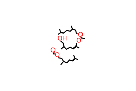 CC(=O)OCCC(C)CCC=C(C)C.CC(C)=CCCC(C)CCO.CC(C)=CCCC(C)CCOC=O